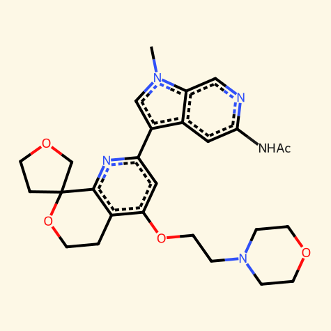 CC(=O)Nc1cc2c(-c3cc(OCCN4CCOCC4)c4c(n3)C3(CCOC3)OCC4)cn(C)c2cn1